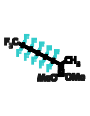 CO[SiH](OC)C(C)C(F)(F)C(F)(F)C(F)(F)C(F)(F)C(F)(F)C(F)(F)F